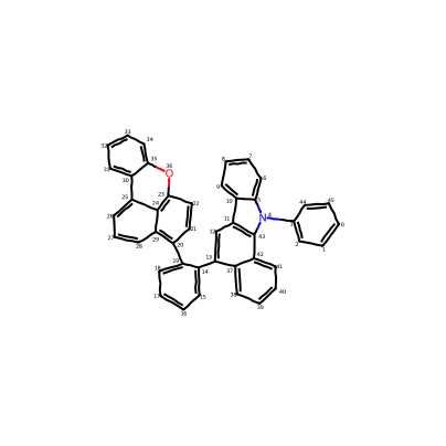 c1ccc(-n2c3ccccc3c3cc(-c4ccccc4-c4ccc5c6c(cccc46)-c4ccccc4O5)c4ccccc4c32)cc1